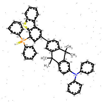 CC1(C)c2ccc(N(c3ccccc3)c3ccccc3)cc2C(C)(C)c2ccc(-c3cc(P(=S)(c4ccccc4)c4ccccc4)c4sc5ccccc5c4c3)cc21